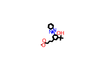 COC(=O)CCCc1cc(-n2nc3ccccc3n2)c(O)c(C(C)(C)C)c1